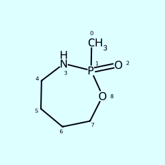 CP1(=O)NCCCCO1